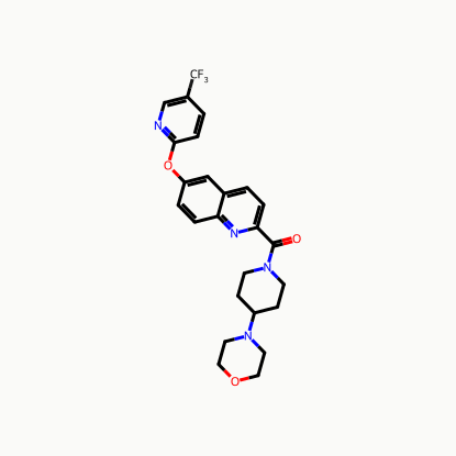 O=C(c1ccc2cc(Oc3ccc(C(F)(F)F)cn3)ccc2n1)N1CCC(N2CCOCC2)CC1